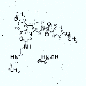 CCCNCCNC(=O)Cn1c2c(c3cc(OC)ccc31)CCN(S(=O)(=O)c1ccc(OC)cc1)C2.O=CNO